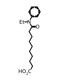 CCN(C(=O)CCCCCCCCC(=O)O)c1ccccc1